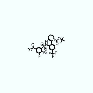 COC(=O)c1cc(F)c(Br)c(S(=O)(=O)Nc2cc(C(F)(F)F)ccc2C2=CCCCN2C(=O)OC(C)(C)C)c1